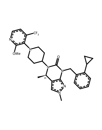 COc1nccc(C(F)(F)F)c1N1CCC(N2C(=O)N(Cc3ccccc3C3CC3)c3nn(C)cc3[C@H]2C)CC1